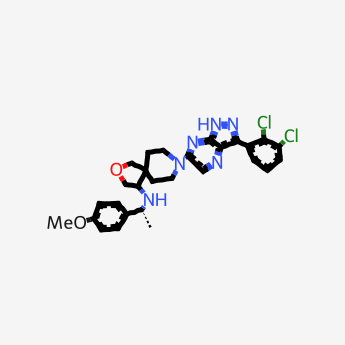 COc1ccc([C@@H](C)NC2COCC23CCN(c2cnc4c(-c5cccc(Cl)c5Cl)n[nH]c4n2)CC3)cc1